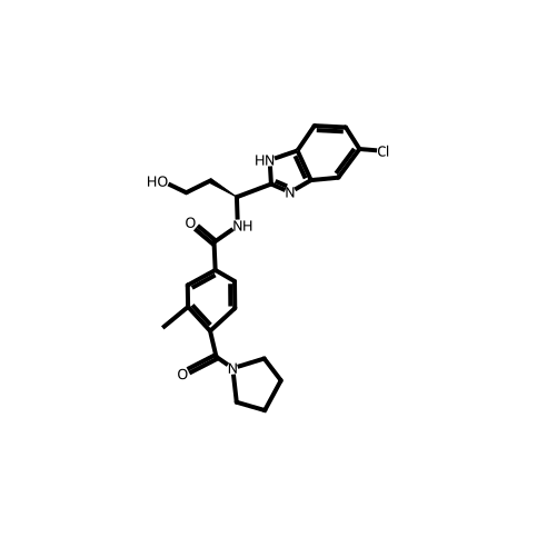 Cc1cc(C(=O)N[C@@H](CCO)c2nc3cc(Cl)ccc3[nH]2)ccc1C(=O)N1CCCC1